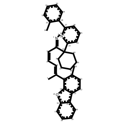 C/N=C(/C=C\C=C(/C)c1c(C)ccc2c1oc1ccccc12)C1(c2cccc(-c3ccccc3C)n2)CCCCC1